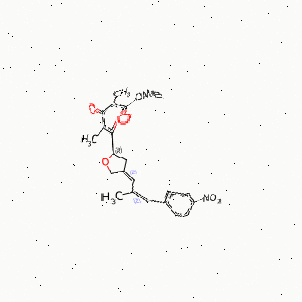 COc1oc([C@H]2C/C(=C/C(C)=C\c3ccc([N+](=O)[O-])cc3)CO2)c(C)c(=O)c1C